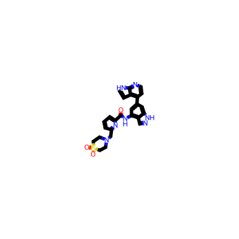 O=C(Nc1cc(-c2ccnc3[nH]ccc23)cc2[nH]ncc12)c1cccc(CN2CCS(=O)(=O)CC2)n1